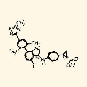 Cc1cc(-c2nnn(C)n2)cc(C)c1-c1ccc(F)c2c1CC[C@H]2Nc1ccc([C@H]2C[C@@H]2C(=O)O)cc1